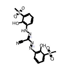 CS(=O)(=O)c1cccc(/N=N/C(C#N)=N/Nc2cccc(S(C)(=O)=O)c2O)c1O